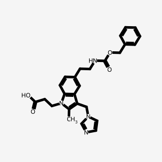 Cc1c(Cn2ccnc2)c2cc(CCNC(=O)OCc3ccccc3)ccc2n1CCC(=O)O